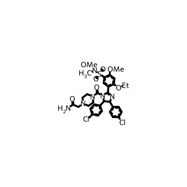 CCOc1cc(OC)c(S(=O)(=O)N(C)OC)cc1C1=NC(c2ccc(Cl)cc2)C(c2ccc(Cl)cc2)N1C(=O)N1CCN(CC(N)=O)CC1